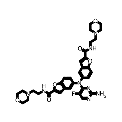 Nc1ncc(F)c(N(c2ccc3oc(C(=O)NCCN4CCOCC4)cc3c2)c2ccc3oc(C(=O)NCCN4CCOCC4)cc3c2)n1